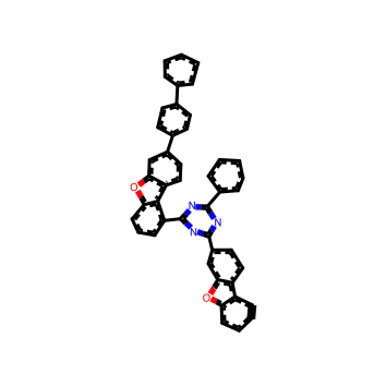 c1ccc2oc3cc(-c4nc(-c5ccccc5)nc(-c5cccc6oc7cc(-c8ccc(-c9ccccc9)cc8)ccc7c56)n4)ccc3c2c#1